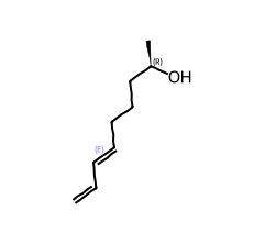 C=C/C=C/CCC[C@@H](C)O